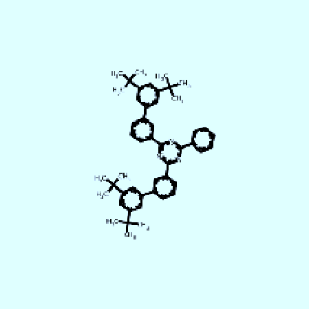 CC(C)(C)c1cc(-c2cccc(-c3nc(-c4ccccc4)nc(-c4cccc(-c5cc(C(C)(C)C)cc(C(C)(C)C)c5)c4)n3)c2)cc(C(C)(C)C)c1